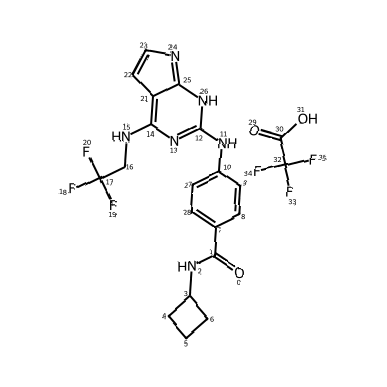 O=C(NC1CCC1)c1ccc(Nc2nc(NCC(F)(F)F)c3ccnc-3[nH]2)cc1.O=C(O)C(F)(F)F